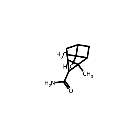 CC1(C)C2CC3C(C(N)=O)C3(C)C1C2